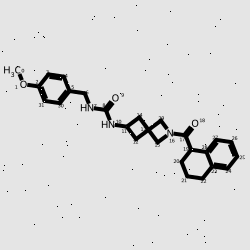 COc1ccc(CNC(=O)NC2CC3(C2)CN(C(=O)C2CCCc4ccccc42)C3)cc1